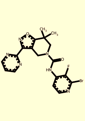 CC1(C)CN(C(=O)Nc2ccnc(Br)c2F)Cc2c(-c3ncccn3)noc21